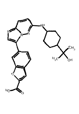 CC(C)(O)C1CCC(Nc2ccc3ncc(-c4ccc5cc(C(=O)O)oc5c4)n3n2)CC1